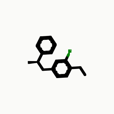 CCc1ccc(C[C@@H](C)c2ccccc2)cc1F